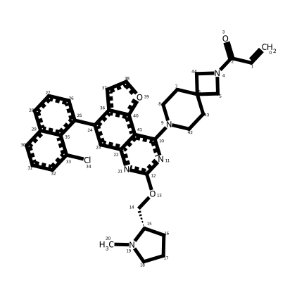 C=CC(=O)N1CC2(CCN(c3nc(OC[C@@H]4CCCN4C)nc4cc(-c5cccc6cccc(Cl)c56)c5ccoc5c34)CC2)C1